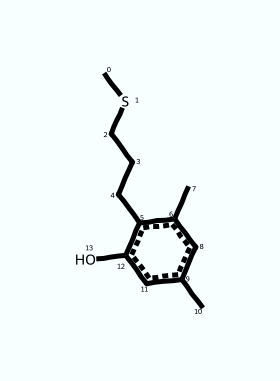 CSCCCc1c(C)cc(C)cc1O